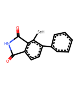 O=C1NC(=O)c2c1ccc(-c1ccccc1)c2[SeH]